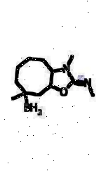 BC1(C)CCCCC2C(C1)O/C(=N\C)N2C